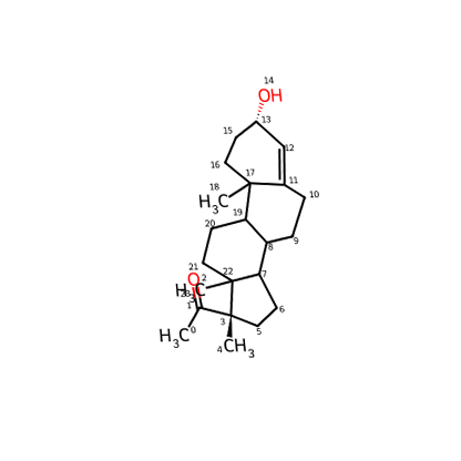 CC(=O)[C@@]1(C)CCC2C3CCC4=C[C@@H](O)CCC4(C)C3CCC21C